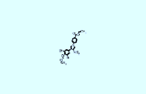 CCOC(=O)c1ccc(-n2cc(N)c(-c3cc(Br)c(OCOC)c(Br)c3)c2)cc1